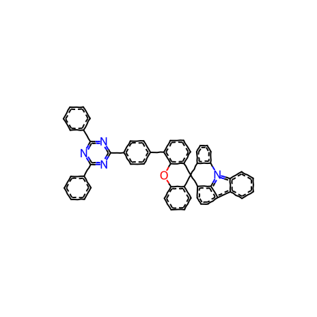 c1ccc(-c2nc(-c3ccccc3)nc(-c3ccc(-c4cccc5c4Oc4ccccc4C54c5ccccc5-n5c6ccccc6c6cccc4c65)cc3)n2)cc1